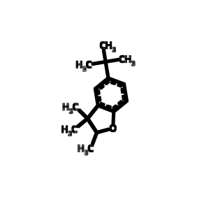 CC1Oc2ccc(C(C)(C)C)cc2C1(C)C